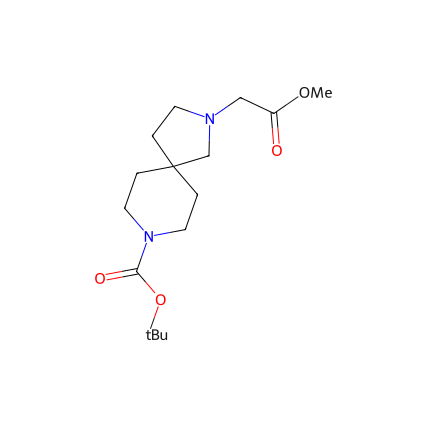 COC(=O)CN1CCC2(CCN(C(=O)OC(C)(C)C)CC2)C1